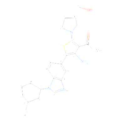 COC(=O)c1c(N2CC[C@H](CO)C2)sc(-c2ccc3c(c2)ncn3C2CCCC(C)C2)c1N